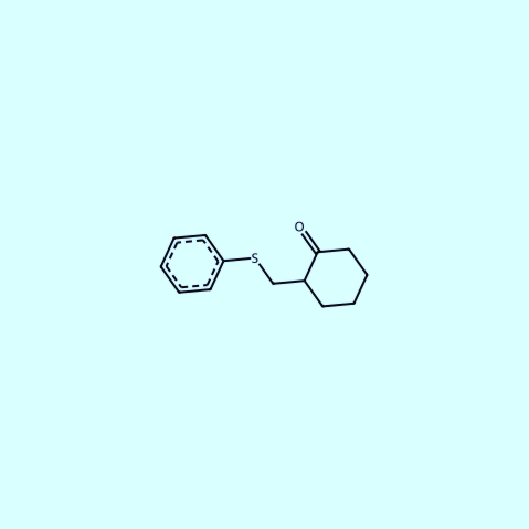 O=C1CCCCC1CSc1ccccc1